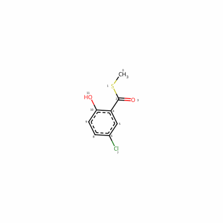 CSC(=O)c1cc(Cl)ccc1O